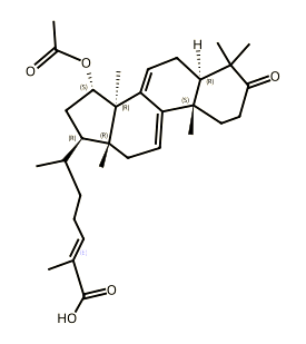 CC(=O)O[C@H]1C[C@H](C(C)CC/C=C(\C)C(=O)O)[C@@]2(C)CC=C3C(=CC[C@H]4C(C)(C)C(=O)CC[C@]34C)[C@]12C